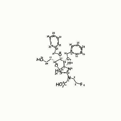 O=C(O)N(CCF)C1=N[C@@H]2[C@@H](OCc3ccccc3)[C@@H](OCc3ccccc3)[C@@H](CCO)O[C@@H]2S1